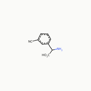 N#Cc1cccc(C(N)C(=O)O)c1